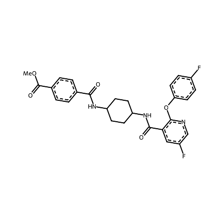 COC(=O)c1ccc(C(=O)NC2CCC(NC(=O)c3cc(F)cnc3Oc3ccc(F)cc3)CC2)cc1